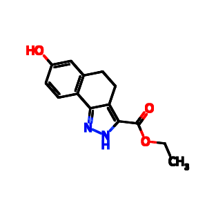 CCOC(=O)c1[nH]nc2c1CCc1cc(O)ccc1-2